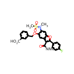 CNC(=O)c1c(-c2ccc(F)cc2)oc2cc(N(C)S(C)(=O)=O)c(OCc3cccc(C(=O)O)c3)cc12